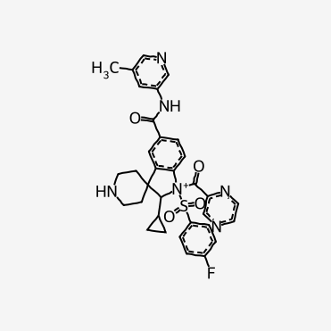 Cc1cncc(NC(=O)c2ccc3c(c2)C2(CCNCC2)C(C2CC2)[N+]3(C(=O)c2cnccn2)S(=O)(=O)c2ccc(F)cc2)c1